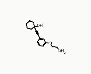 NCCOc1cccc(C#CC2(O)CCCCC2)c1